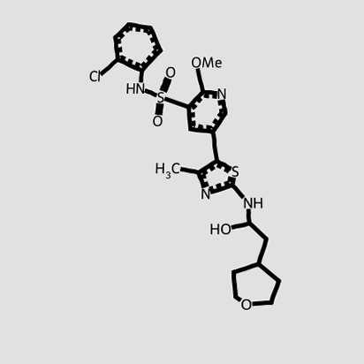 COc1ncc(-c2sc(NC(O)CC3CCOCC3)nc2C)cc1S(=O)(=O)Nc1ccccc1Cl